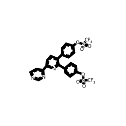 O=S(=O)(Oc1ccc(-c2ccc(-c3ccncn3)nc2-c2ccc(OS(=O)(=O)C(F)(F)F)cc2)cc1)C(F)(F)F